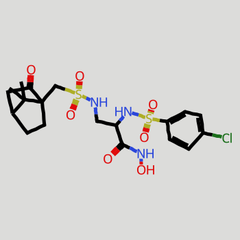 CC1(C)C2CCC1(CS(=O)(=O)NCC(NS(=O)(=O)c1ccc(Cl)cc1)C(=O)NO)C(=O)C2